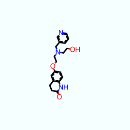 O=C1CCc2cc(OCCN(CCO)Cc3cccnc3)ccc2N1